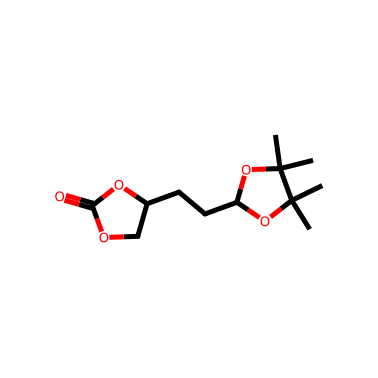 CC1(C)OC(CCC2COC(=O)O2)OC1(C)C